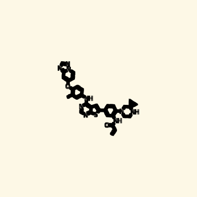 C=CC(=O)Nc1cc(-c2cc3c(Nc4ccc(Oc5ccn6ncnc6c5)c(C)c4)ncnc3s2)ccc1N1CCNC2(CC2)C1